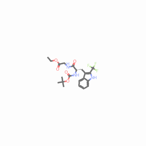 CCOC(=O)CNC(=O)[C@H](Cc1c(C(F)(F)F)[nH]c2ccccc12)NC(=O)OC(C)(C)C